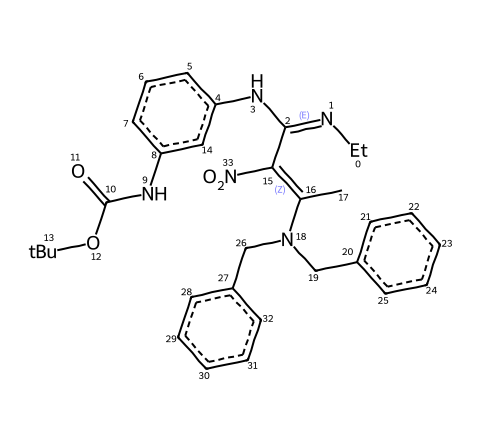 CC/N=C(Nc1cccc(NC(=O)OC(C)(C)C)c1)\C(=C(/C)N(Cc1ccccc1)Cc1ccccc1)[N+](=O)[O-]